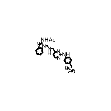 CC(=O)Nc1nc2ccccc2n1CNCc1ccnc(Nc2ccc(CS(C)(=O)=O)cc2)n1